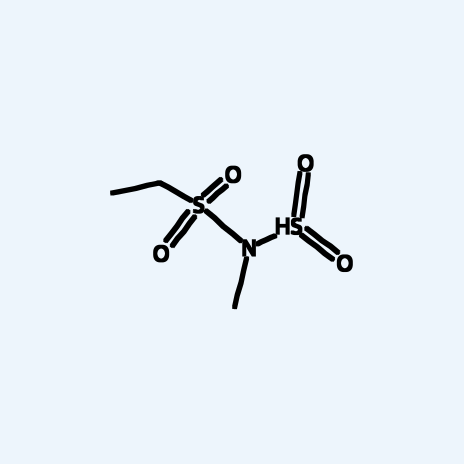 CCS(=O)(=O)N(C)[SH](=O)=O